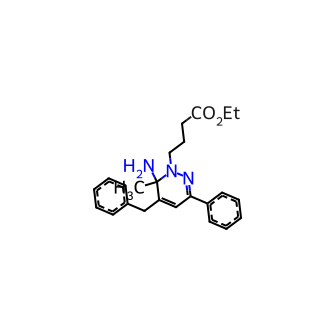 CCOC(=O)CCCN1N=C(c2ccccc2)C=C(Cc2ccccc2)C1(C)N